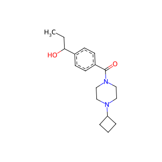 CCC(O)c1ccc(C(=O)N2CCN(C3CCC3)CC2)cc1